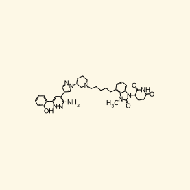 Cn1c(=O)n(C2CCC(=O)NC2=O)c2cccc(CCCCCN3CCCC(n4cc(-c5cc(-c6ccccc6O)nnc5N)cn4)C3)c21